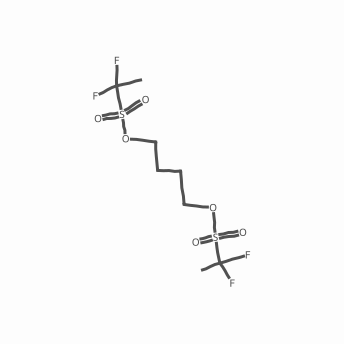 CC(F)(F)S(=O)(=O)OCCCCOS(=O)(=O)C(C)(F)F